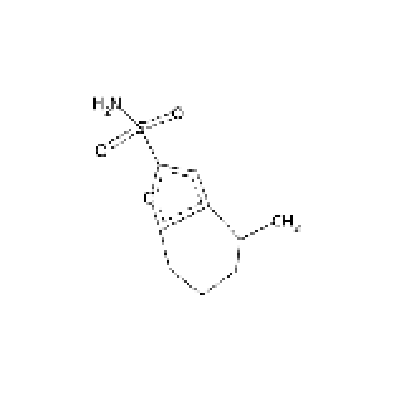 CC1CCCc2oc(S(N)(=O)=O)cc21